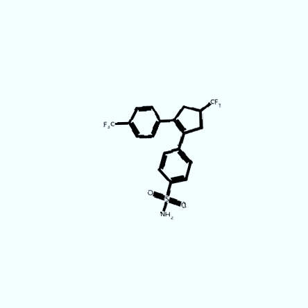 NS(=O)(=O)c1ccc(C2=C(c3ccc(C(F)(F)F)cc3)CC(C(F)(F)F)C2)cc1